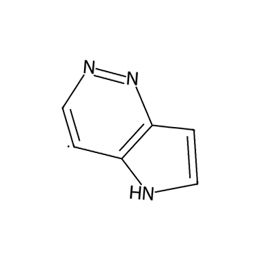 [c]1cnnc2cc[nH]c12